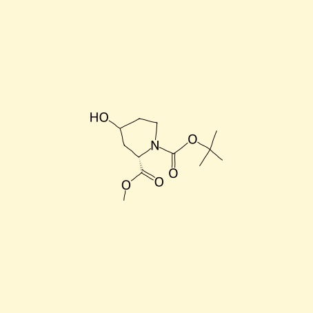 COC(=O)[C@@H]1CC(O)CCN1C(=O)OC(C)(C)C